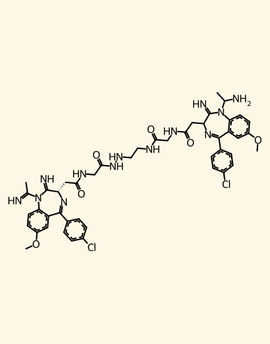 COc1ccc2c(c1)C(c1ccc(Cl)cc1)=N[C@@H](CC(=O)NCC(=O)NNCCNC(=O)CNC(=O)CC1N=C(c3ccc(Cl)cc3)c3cc(OC)ccc3N(C(C)N)C1=N)C(=N)N2C(C)=N